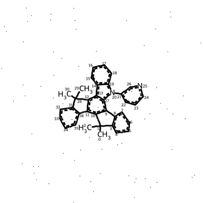 CC1(C)c2ccccc2-c2c1c1c(c3c4ccccc4n(-c4cccnc4)c23)C(C)(C)c2ccccc2-1